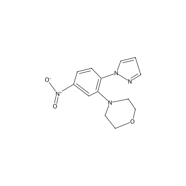 O=[N+]([O-])c1ccc(-n2cccn2)c(N2CCOCC2)c1